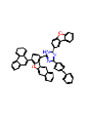 c1ccc(-c2ccc(C3=NC(c4ccc5oc6ccccc6c5c4)NC(c4ccc(-c5cc6ccccc6c6ccccc56)c5oc6cc7ccccc7cc6c45)=N3)cc2)cc1